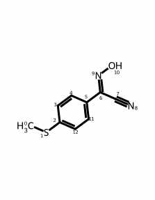 CSc1ccc(C(C#N)=NO)cc1